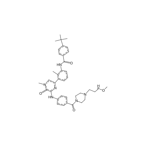 COPCCN1CCN(C(=O)c2ccc(Nc3nc(-c4cccc(NC(=O)c5ccc(C(C)(C)C)cc5)c4C)cn(C)c3=O)cc2)CC1